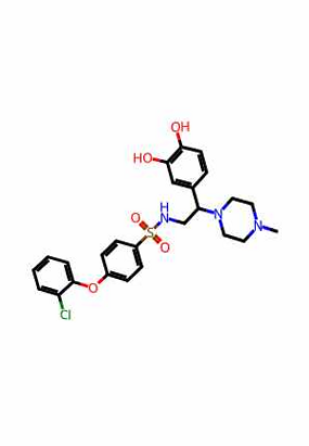 CN1CCN(C(CNS(=O)(=O)c2ccc(Oc3ccccc3Cl)cc2)c2ccc(O)c(O)c2)CC1